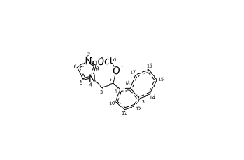 CCCCCCCCOC(Cn1ccnc1)c1cccc2ccccc12